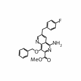 COC(=O)c1nc(N)c2cc(Cc3ccc(F)cc3)cnc2c1OCc1ccccc1